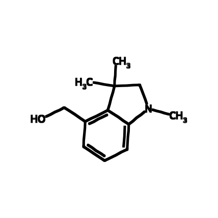 CN1CC(C)(C)c2c(CO)cccc21